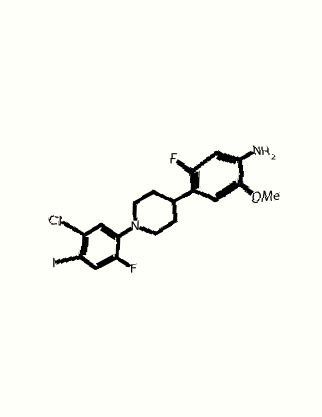 COc1cc(C2CCN(c3cc(Cl)c(I)cc3F)CC2)c(F)cc1N